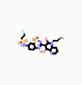 CC(C)CCn1c(=O)c(C2=NS(=O)(=O)c3cc(NS(=O)(=O)CCF)ccc3N2)c(O)c2ncccc21